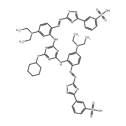 CCN(CC)c1ccc(/N=N/c2nc(-c3cccc(S(=O)(=O)O)c3)ns2)c(Nc2nc(Nc3cc(N(CC)CC)ccc3/N=N/c3nc(-c4cccc(S(=O)(=O)O)c4)ns3)nc(SC3CCCCC3)n2)c1